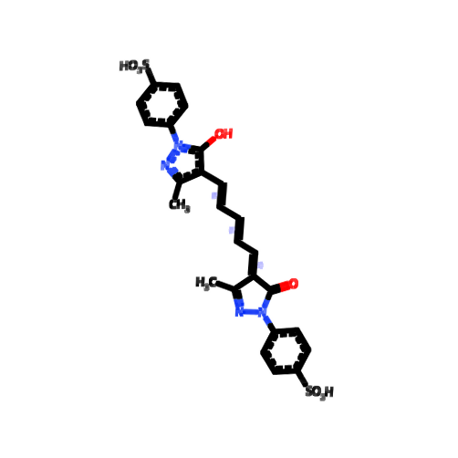 CC1=NN(c2ccc(S(=O)(=O)O)cc2)C(=O)/C1=C/C=C/C=C/c1c(C)nn(-c2ccc(S(=O)(=O)O)cc2)c1O